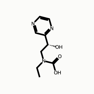 CCN(C[C@@H](O)c1cnccn1)C(=O)O